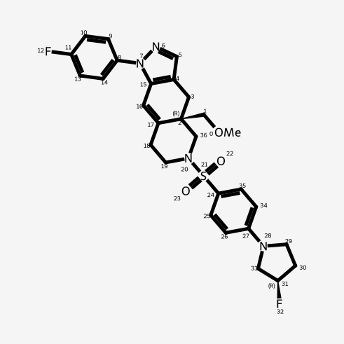 COC[C@]12Cc3cnn(-c4ccc(F)cc4)c3C=C1CCN(S(=O)(=O)c1ccc(N3CC[C@@H](F)C3)cc1)C2